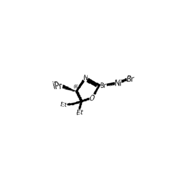 CCC1(CC)OC=N[C@@H]1C(C)C.[Br][Ni][Br]